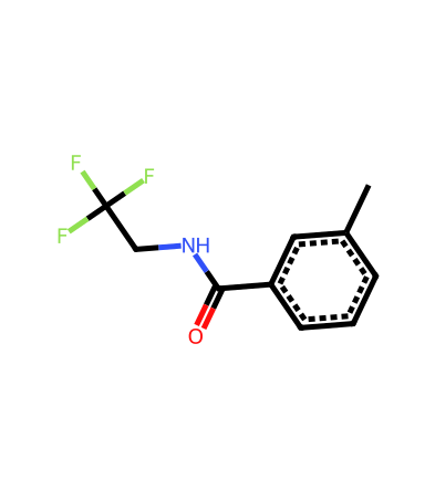 Cc1cccc(C(=O)NCC(F)(F)F)c1